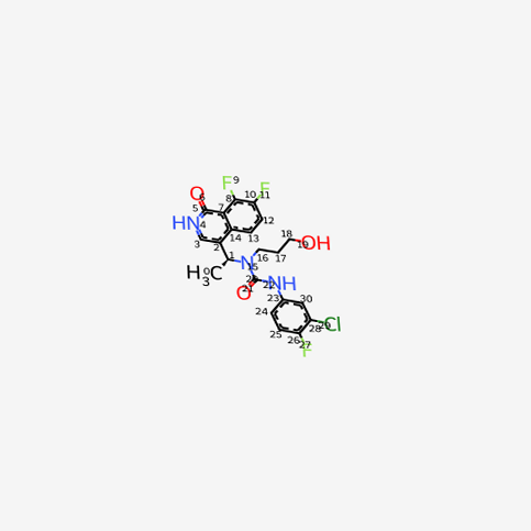 C[C@@H](c1c[nH]c(=O)c2c(F)c(F)ccc12)N(CCCO)C(=O)Nc1ccc(F)c(Cl)c1